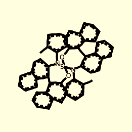 Cc1ccccc1N1c2ccc3ccccc3c2-c2c(ccc3ccccc23)O[Si]12Oc1ccc3ccccc3c1-c1c(ccc3ccccc13)N2c1ccccc1C